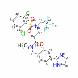 CN(Cc1ccc(C2=NCCN2)cc1)C(=O)CCN(CC(F)(F)F)S(=O)(=O)c1c(Cl)cccc1Cl